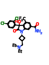 CCN(CC)C[C@H]1C[C@H](N2C(=O)C(O)(c3ccc(Cl)cc3Cl)c3c2cc(C(N)=O)cc3C(F)(F)F)C1